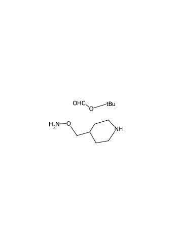 CC(C)(C)OC=O.NOCC1CCNCC1